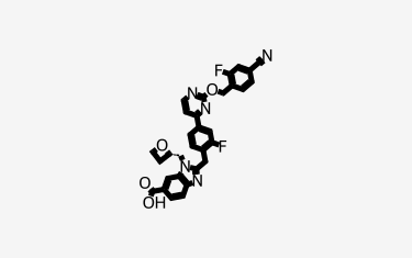 N#Cc1ccc(COc2nccc(-c3ccc(Cc4nc5ccc(C(=O)O)cc5n4C[C@@H]4CCO4)c(F)c3)n2)c(F)c1